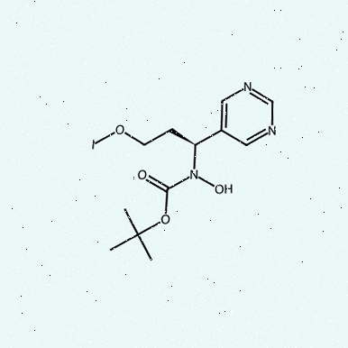 CC(C)(C)OC(=O)N(O)[C@@H](CCOI)c1cncnc1